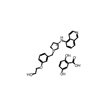 O=C(O)c1cc(O)ccc1O.OCCOc1cccc(CN2CC[C@@H](Nc3cccc4cnccc34)C2)c1